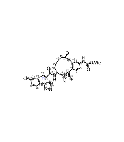 COC(=O)Nc1ccc2c(c1)NC(=O)CCCC[C@H](NC(=O)/C=C/c1cc(Cl)ccc1-n1cnnn1)c1nc-2c(F)[nH]1